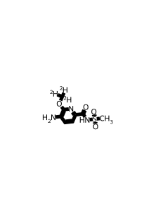 [2H]C([2H])([2H])Oc1nc(C(=O)NS(C)(=O)=O)ccc1N